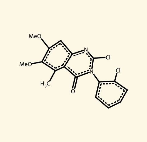 COc1cc2nc(Cl)n(-c3ccccc3Cl)c(=O)c2c(C)c1OC